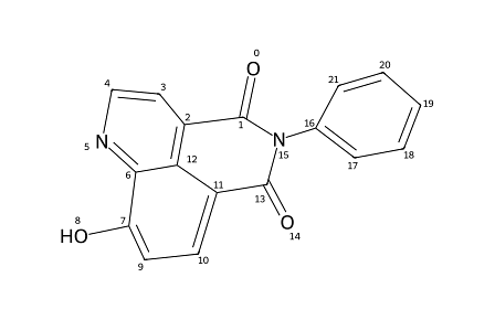 O=C1c2ccnc3c(O)ccc(c23)C(=O)N1c1ccccc1